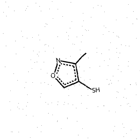 Cc1nocc1S